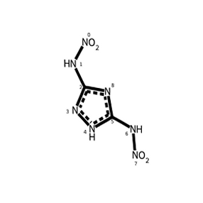 O=[N+]([O-])Nc1n[nH]c(N[N+](=O)[O-])n1